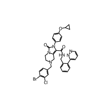 O=C(NCc1ccccc1-c1cccnn1)c1c2n(c(=O)n1-c1ccc(OC3CC3)cc1)CCN(Cc1ccc(Br)c(Cl)c1)C2